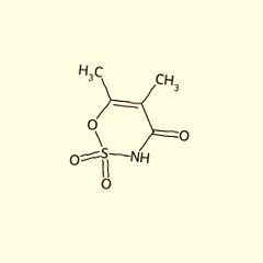 CC1=C(C)C(=O)NS(=O)(=O)O1